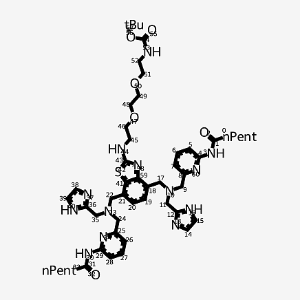 CCCCCC(=O)Nc1cccc(CN(Cc2ncc[nH]2)Cc2ccc(CN(Cc3cccc(NC(=O)CCCCC)n3)Cc3ncc[nH]3)c3sc(NCCOCCOCCNC(=O)OC(C)(C)C)nc23)n1